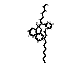 CCCCCCCCCCn1ccnc1C(CCCCCC)C(C)(Cc1ccccc1)c1ccccc1